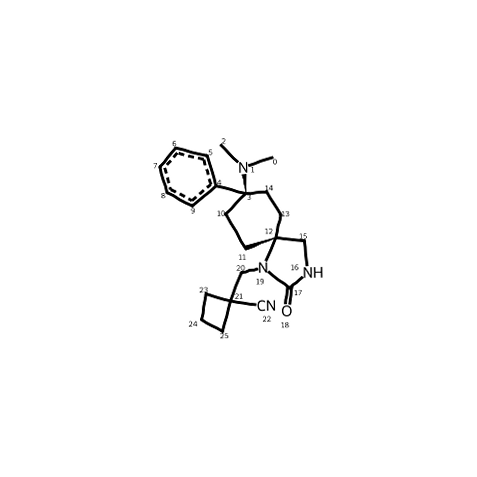 CN(C)[C@]1(c2ccccc2)CC[C@@]2(CC1)CNC(=O)N2CC1(C#N)CCC1